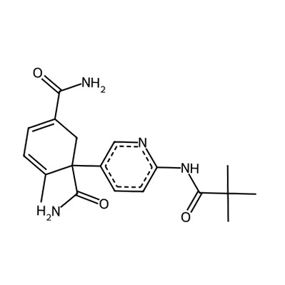 CC1=CC=C(C(N)=O)CC1(C(N)=O)c1ccc(NC(=O)C(C)(C)C)nc1